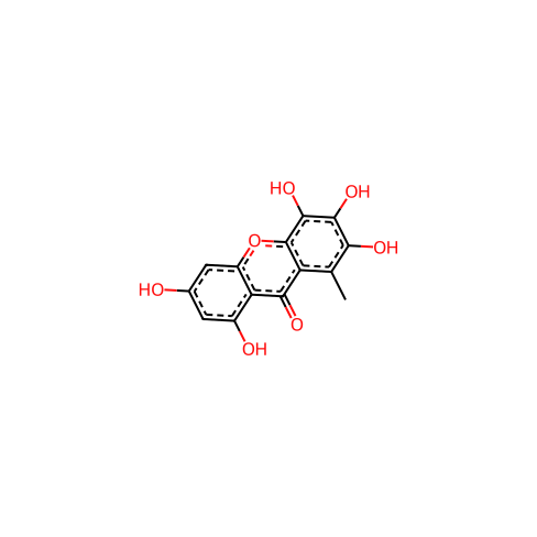 Cc1c(O)c(O)c(O)c2oc3cc(O)cc(O)c3c(=O)c12